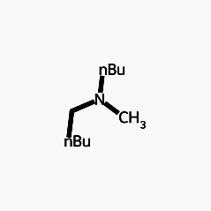 [CH2]CCCCN(C)CCCC